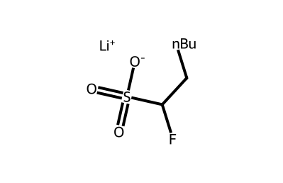 CCCCCC(F)S(=O)(=O)[O-].[Li+]